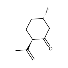 C=C(C)[C@H]1CC[C@H](C)CC1=O